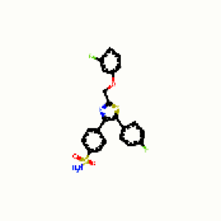 NS(=O)(=O)c1ccc(-c2nc(COc3cccc(F)c3)sc2-c2ccc(F)cc2)cc1